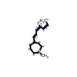 C\C=C/C(F)=C\C=C\C1CCCN(C)CC1